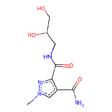 Cn1cc(C(N)=O)c(C(=O)NCC(O)CO)n1